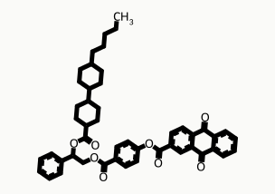 CCCCCC1CCC(C2CCC(C(=O)OC(COC(=O)c3ccc(OC(=O)c4ccc5c(c4)C(=O)c4ccccc4C5=O)cc3)c3ccccc3)CC2)CC1